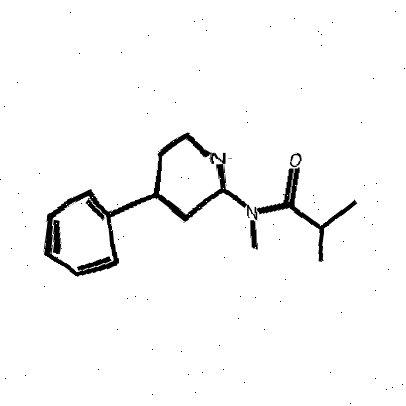 CC(C)C(=O)N(C)C1CC(c2ccccc2)CC[N]1